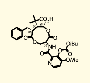 COc1ccnc(C(=O)N[C@H]2COC(=O)[C@H](Cc3ccccc3)[C@H](C(C)(C)C(=O)O)[C@H](C)OC2=O)c1OC(=O)OCC(C)C